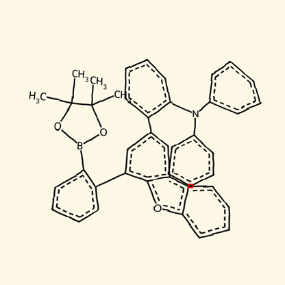 CC1(C)OB(c2ccccc2-c2cc(-c3ccccc3N(c3ccccc3)c3ccccc3)cc3c2oc2ccccc23)OC1(C)C